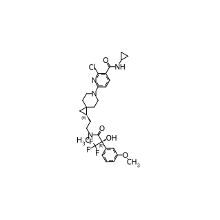 COc1cccc([C@@](O)(C(=O)N(C)CC[C@H]2CC23CCN(c2ccc(C(=O)NC4CC4)c(Cl)n2)CC3)C(F)(F)F)c1